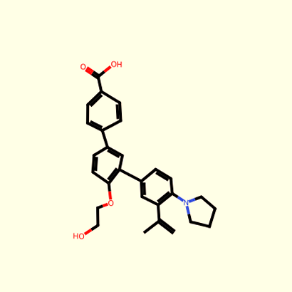 C=C(C)c1cc(-c2cc(-c3ccc(C(=O)O)cc3)ccc2OCCO)ccc1N1CCCC1